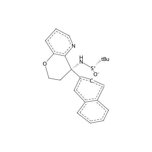 CC(C)(C)[S@+]([O-])N[C@]1(c2ccc3ccccc3c2)CCOc2cccnc21